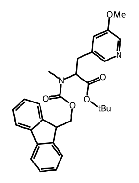 COc1cncc(CC(C(=O)OC(C)(C)C)N(C)C(=O)OCC2c3ccccc3-c3ccccc32)c1